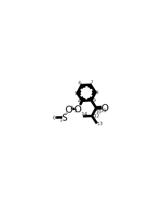 CSOOc1ccccc1C(=O)C(C)C